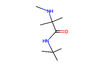 CNC(C)(C)C(=O)NC(C)(C)C